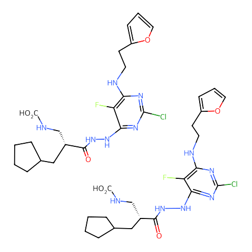 O=C(O)NC[C@@H](CC1CCCC1)C(=O)NNc1nc(Cl)nc(NCCc2ccco2)c1F.O=C(O)NC[C@@H](CC1CCCC1)C(=O)NNc1nc(Cl)nc(NCCc2ccco2)c1F